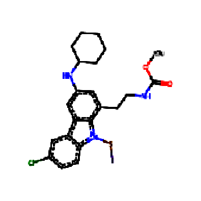 CC(C)(C)OC(=O)NCCc1cc(NC2CCCCC2)cc2c3cc(Cl)ccc3n(SI)c12